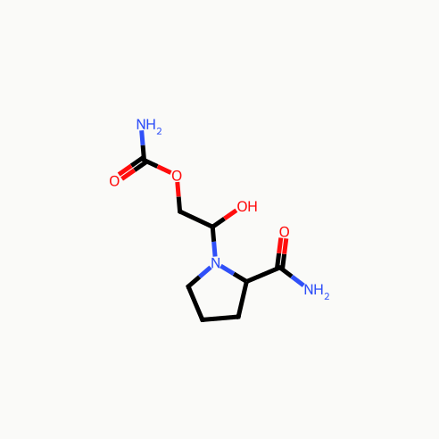 NC(=O)OCC(O)N1CCCC1C(N)=O